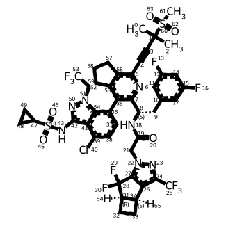 CC(C)(C#Cc1nc([C@H](Cc2cc(F)cc(F)c2)NC(=O)Cn2nc(C(F)(F)F)c3c2C(F)(F)[C@@H]2CC[C@H]32)c(-c2ccc(Cl)c3c(NS(=O)(=O)C4CC4)nn(CC(F)(F)F)c23)c2c1CCC2)S(C)(=O)=O